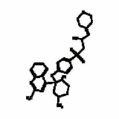 Cc1cc(C2(Oc3ccc(S(=O)(=O)CC(O)C=C4CCOCC4)cc3)CC(C)CCC2C(C)C)c2ccccc2n1